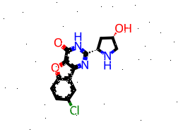 O=c1[nH]c([C@@H]2C[C@H](O)CN2)nc2c1oc1ccc(Cl)cc12